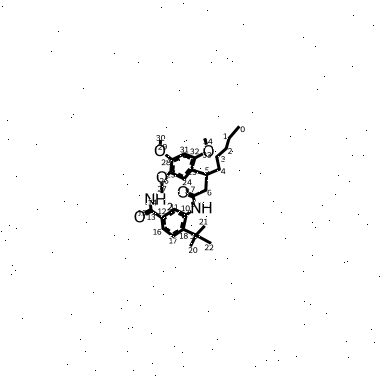 CCCCCC(CC(=O)Nc1cc(C(N)=O)ccc1C(C)(C)C)c1cc(OC)c(OC)cc1OC